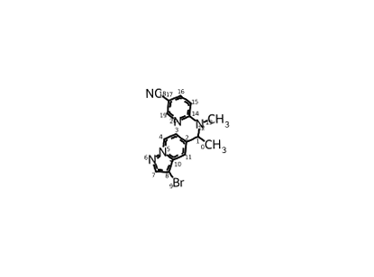 CC(c1ccn2ncc(Br)c2c1)N(C)c1ccc(C#N)cn1